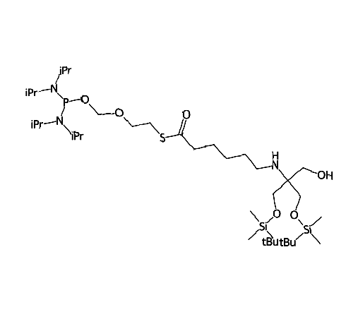 CC(C)N(C(C)C)P(OCOCCSC(=O)CCCCCNC(CO)(CO[Si](C)(C)C(C)(C)C)CO[Si](C)(C)C(C)(C)C)N(C(C)C)C(C)C